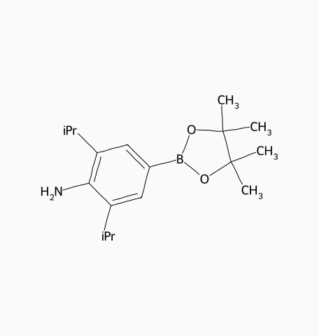 CC(C)c1cc(B2OC(C)(C)C(C)(C)O2)cc(C(C)C)c1N